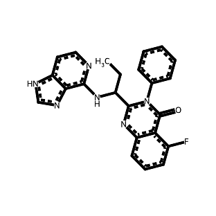 CCC(Nc1nccc2[nH]cnc12)c1nc2cccc(F)c2c(=O)n1-c1ccccc1